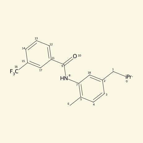 C[C](C)Cc1ccc(C)c(NC(=O)c2cccc(C(F)(F)F)c2)c1